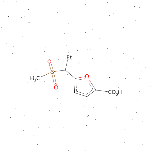 CCC(c1ccc(C(=O)O)o1)S(C)(=O)=O